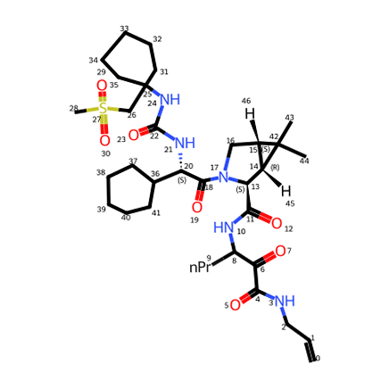 C=CCNC(=O)C(=O)C(CCC)NC(=O)[C@@H]1[C@@H]2[C@H](CN1C(=O)[C@@H](NC(=O)NC1(CS(C)(=O)=O)CCCCC1)C1CCCCC1)C2(C)C